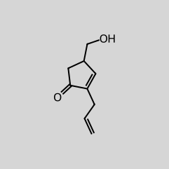 C=CCC1=CC(CO)CC1=O